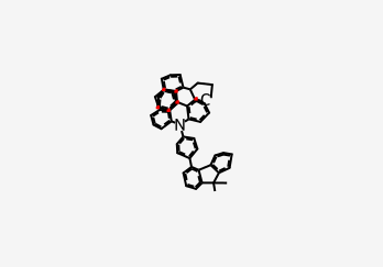 CC1(C)c2ccccc2-c2c(-c3ccc(N(c4ccccc4-c4cccc5cccc(C6CCCCC6)c45)c4cccc5ccccc45)cc3)cccc21